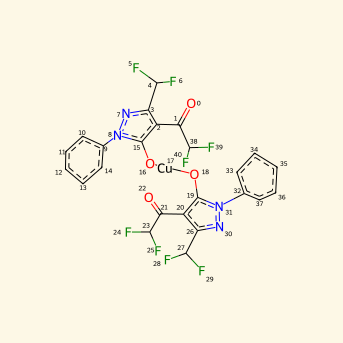 O=C(c1c(C(F)F)nn(-c2ccccc2)c1[O][Cu][O]c1c(C(=O)C(F)F)c(C(F)F)nn1-c1ccccc1)C(F)F